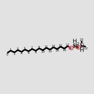 CCCCCCCCCCCCCCCCCCO[SiH2]O[SiH](C)C